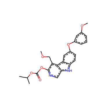 COCc1c(OC(=O)OC(C)C)ncc2[nH]c3ccc(Oc4cccc(OC)c4)cc3c12